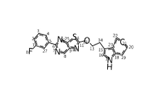 Fc1cccc(-c2ncc3nc(OCCc4c[nH]c5ccccc45)sc3n2)c1